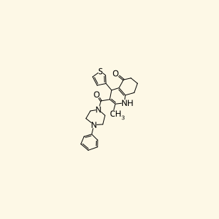 CC1=C(C(=O)N2CCN(c3ccccc3)CC2)C(c2ccsc2)C2=C(CCCC2=O)N1